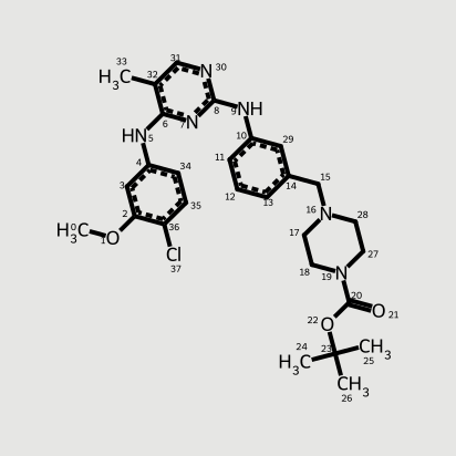 COc1cc(Nc2nc(Nc3cccc(CN4CCN(C(=O)OC(C)(C)C)CC4)c3)ncc2C)ccc1Cl